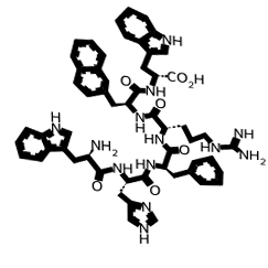 N=C(N)NCCC[C@H](NC(=O)[C@@H](Cc1ccccc1)NC(=O)[C@H](Cc1c[nH]cn1)NC(=O)[C@@H](N)Cc1c[nH]c2ccccc12)C(=O)N[C@@H](Cc1ccc2ccccc2c1)C(=O)N[C@H](Cc1c[nH]c2ccccc12)C(=O)O